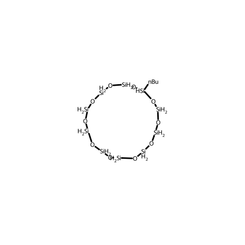 CCCC[SiH]1O[SiH2]O[SiH2]O[SiH2]O[SiH2]O[SiH2]O[SiH2]O[SiH2]O[SiH2]O[SiH2]O1